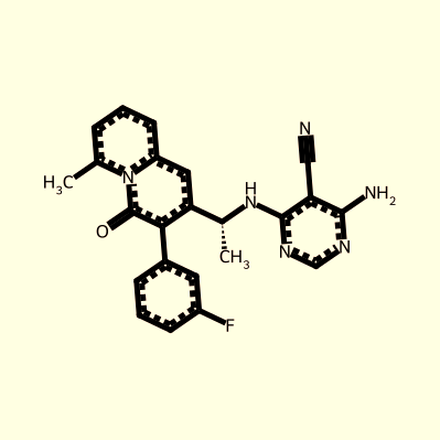 Cc1cccc2cc([C@@H](C)Nc3ncnc(N)c3C#N)c(-c3cccc(F)c3)c(=O)n12